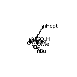 CCCCCCCSCCCCCC/C=C/[C@H](C(=O)N[C@@H](Cc1ccc(OCCCC)cc1)C(=O)NC)[C@@](O)(CCOC)C(=O)O